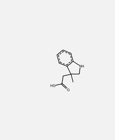 CC1(CC(=O)O)CNc2ccccc21